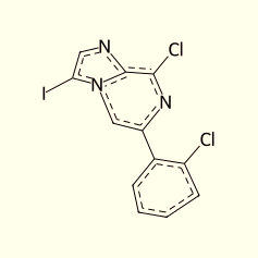 Clc1ccccc1-c1cn2c(I)cnc2c(Cl)n1